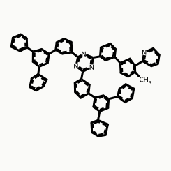 Cc1ccc(-c2cccc(-c3nc(-c4cccc(-c5cc(-c6ccccc6)cc(-c6ccccc6)c5)c4)nc(-c4cccc(-c5cc(-c6ccccc6)cc(-c6ccccc6)c5)c4)n3)c2)cc1-c1ccccn1